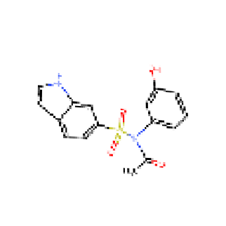 CC(=O)N(c1cccc(O)c1)S(=O)(=O)c1ccc2cc[nH]c2c1